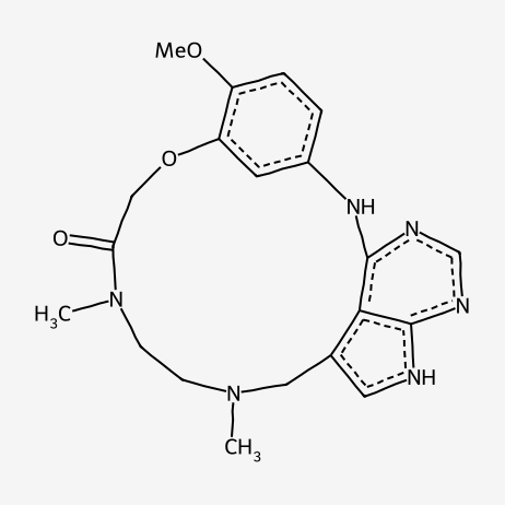 COc1ccc2cc1OCC(=O)N(C)CCN(C)Cc1c[nH]c3ncnc(c13)N2